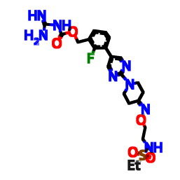 CCS(=O)(=O)NCCON=C1CCN(c2ncc(-c3cccc(COC(=O)NC(=N)N)c3F)cn2)CC1